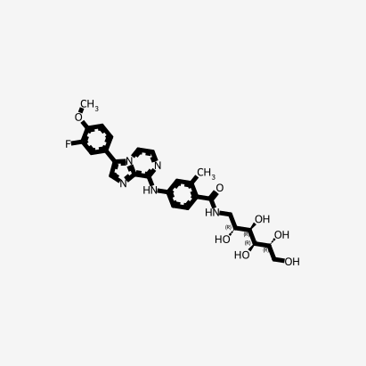 COc1ccc(-c2cnc3c(Nc4ccc(C(=O)NC[C@@H](O)[C@@H](O)[C@H](O)[C@H](O)CO)c(C)c4)nccn23)cc1F